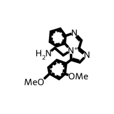 COc1ccc(C2=CN=C3C=Nc4ccccc4[N+]23CCN)c(OC)c1